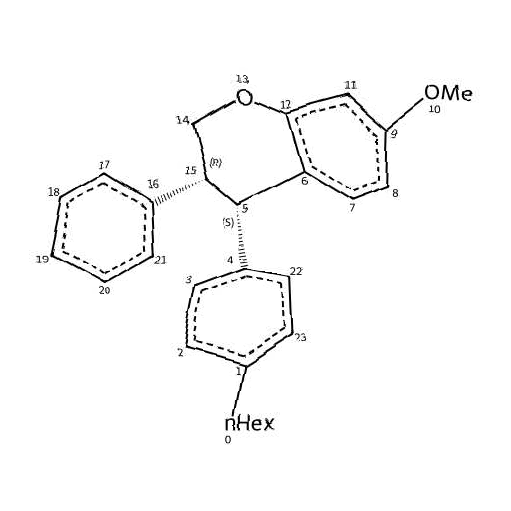 CCCCCCc1ccc([C@H]2c3ccc(OC)cc3OC[C@H]2c2ccccc2)cc1